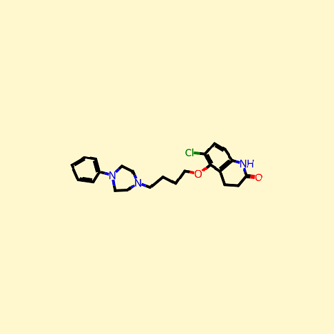 O=C1CCc2c(ccc(Cl)c2OCCCCN2CCN(c3ccccc3)CC2)N1